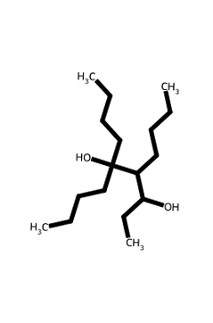 CCCCC(C(O)CC)C(O)(CCCC)CCCC